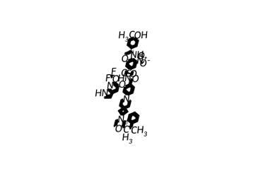 CC(C)c1ccccc1[C@@H]1COCCN1C1CC2(CCN(c3ccc(C(=O)NS(=O)(=O)c4cc5c(c([N+](=O)[O-])c4)N[C@@H](C4CCC(C)(O)CC4)CO5)c(Oc4cc5cc[nH]c5nc4OC(F)F)c3)CC2)C1